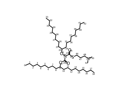 CCCCCCCCCC(CCCCCCCCC)OC(=O)N(OC(CCCCCCCCC)CCCCCCCCC)C(=O)SCCCN(C)C